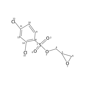 O=S(=O)(OCC1CO1)c1ccc(Cl)cc1Cl